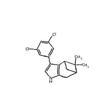 CC1(C)C2Cc3[nH]cc(-c4cc(Cl)cc(Cl)c4)c3C1C2